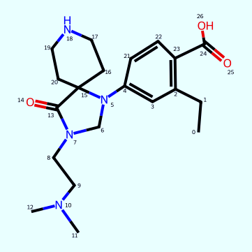 CCc1cc(N2CN(CCN(C)C)C(=O)C23CCNCC3)ccc1C(=O)O